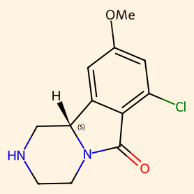 COc1cc(Cl)c2c(c1)[C@H]1CNCCN1C2=O